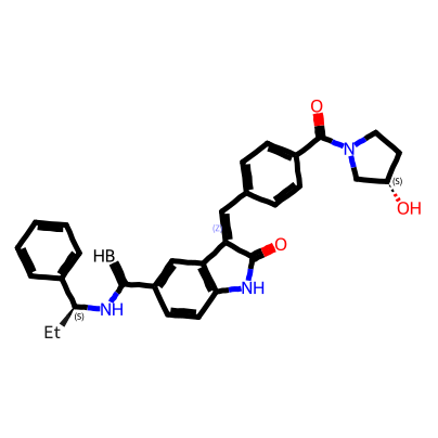 B=C(N[C@@H](CC)c1ccccc1)c1ccc2c(c1)/C(=C/c1ccc(C(=O)N3CC[C@H](O)C3)cc1)C(=O)N2